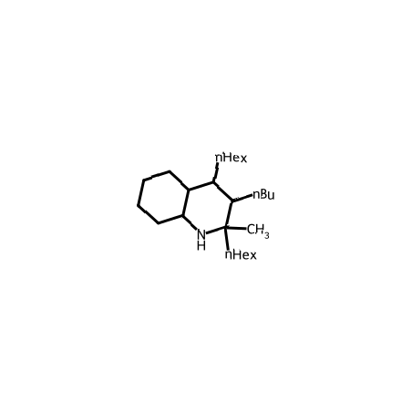 CCCCCCC1C2CCCCC2NC(C)(CCCCCC)C1CCCC